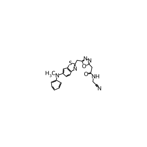 CN(c1ccccc1)c1ccc2nc(Cc3nnc(CC(=O)NCC#N)o3)sc2c1